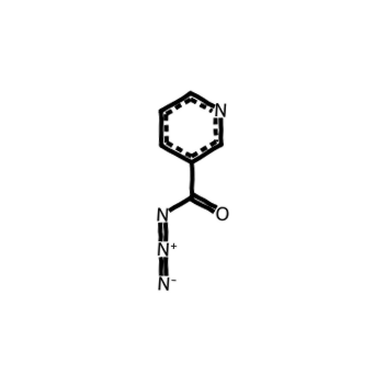 [N-]=[N+]=NC(=O)c1cccnc1